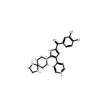 O=C(c1ccc(Cl)c(Cl)c1)c1cc(-c2ccncc2)c(N2CCC3(CC2)OCCO3)s1